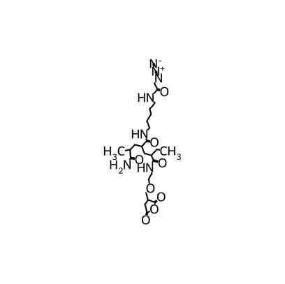 CCC(CC(CC(C)C(N)=O)C(=O)NCCCCCNC(=O)CN=[N+]=[N-])C(=O)NCCOCC1CC(=O)OC1=O